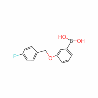 OB(O)c1cccc(OCc2ccc(F)cc2)c1